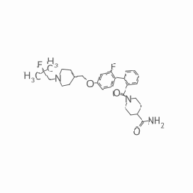 CC(C)(F)CN1CCC(COc2ccc(-c3ccccc3C(=O)N3CCC(C(N)=O)CC3)c(F)c2)CC1